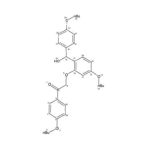 CCCCOc1ccc(C(=O)COc2cc(OCCCC)ccc2C(O)c2ccc(OCCCC)cc2)cc1